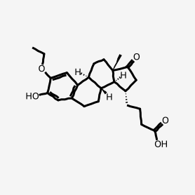 CCOc1cc2c(cc1O)CC[C@H]1[C@@H]3[C@@H](CCCC(=O)O)CC(=O)[C@@]3(C)CC[C@H]21